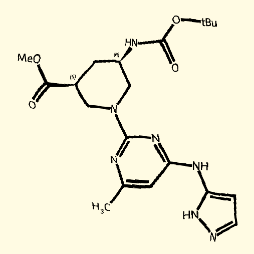 COC(=O)[C@H]1C[C@@H](NC(=O)OC(C)(C)C)CN(c2nc(C)cc(Nc3ccn[nH]3)n2)C1